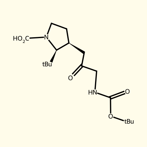 CC(C)(C)OC(=O)NCC(=O)C[C@@H]1CCN(C(=O)O)[C@@H]1C(C)(C)C